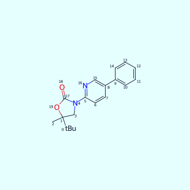 CC(C)(C)C1(C)CN(c2ccc(-c3ccccc3)cn2)C(=O)O1